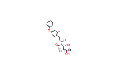 CCC(=O)/C(C(=O)CCc1ccc(Oc2ccc(F)cc2)cc1C)=C(O)\C(CC)=C(\O)CC